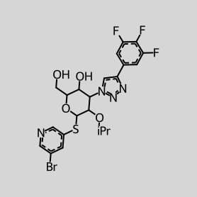 CC(C)OC1C(Sc2cncc(Br)c2)OC(CO)C(O)C1n1cc(-c2cc(F)c(F)c(F)c2)nn1